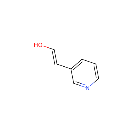 OC=Cc1cccnc1